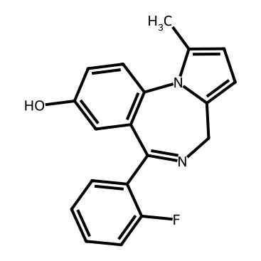 Cc1ccc2n1-c1ccc(O)cc1C(c1ccccc1F)=NC2